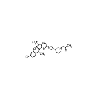 CC(=O)CN1CCC[C@@H](C2CN(c3cnc4c(C)nn([C@H](C)c5ccc(Cl)cc5Cl)c4n3)C2)C1